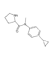 CN(C(=O)C1CCCN1)c1ccc(C2CC2)cc1